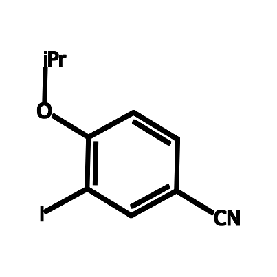 CC(C)Oc1ccc(C#N)cc1I